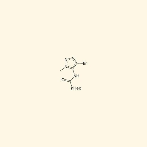 CCCCCCC(=O)Nc1c(Br)cnn1C